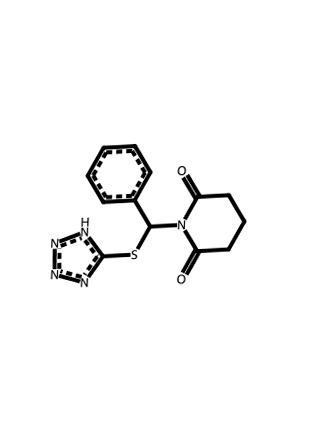 O=C1CCCC(=O)N1C(Sc1nnn[nH]1)c1ccccc1